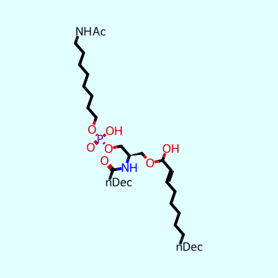 CCCCCCCCCCCCCCC/C=C/C(O)OC[C@H](COP(=O)(O)OCCCCCCCCNC(C)=O)NC(=O)CCCCCCCCCC